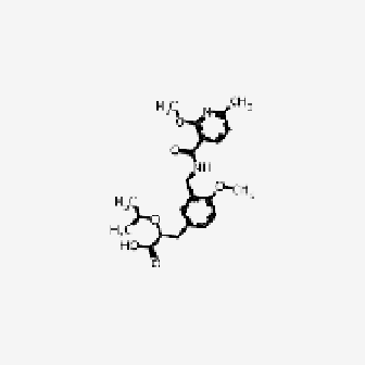 COc1ccc(CC(OC(C)C)C(=O)O)cc1CNC(=O)c1ccc(C)nc1OC